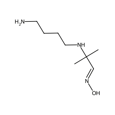 CC(C)(/C=N/O)NCCCCN